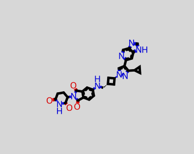 O=C1CCC(N2C(=O)c3ccc(NC[C@H]4C[C@H](n5cc(-c6cc7[nH]cnc7cn6)c(C6CC6)n5)C4)cc3C2=O)C(=O)N1